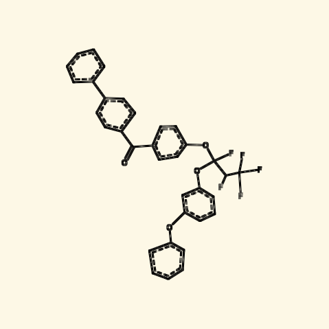 O=C(c1ccc(OC(F)(Oc2cccc(Oc3ccccc3)c2)C(F)C(F)(F)F)cc1)c1ccc(-c2ccccc2)cc1